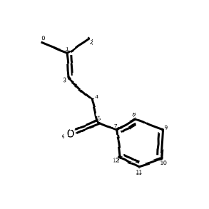 CC(C)=CCC(=O)c1ccccc1